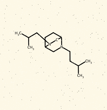 CC(C)CCN1CC2CCC1CN2CC(C)C